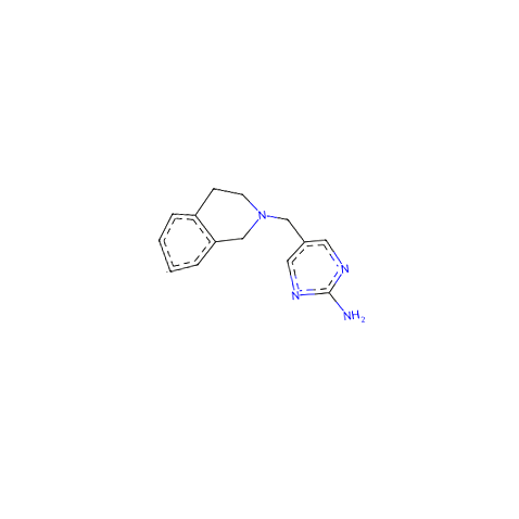 Nc1ncc(CN2CCc3cc[c]cc3C2)cn1